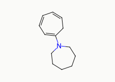 C1=CC=C(N2CCCCCC2)CC=C1